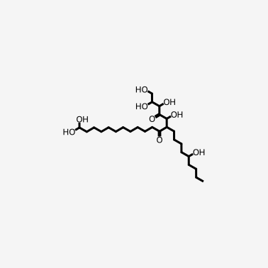 CCCCC(O)CCCCC(C(=O)CCCCCCCCCCC(O)O)C(O)C(=O)C(O)C(O)CO